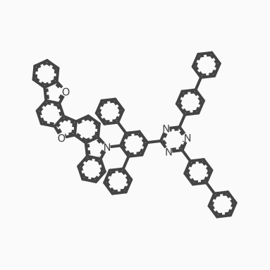 c1ccc(-c2ccc(-c3nc(-c4ccc(-c5ccccc5)cc4)nc(-c4cc(-c5ccccc5)c(-n5c6ccccc6c6c7oc8ccc9c%10ccccc%10oc9c8c7ccc65)c(-c5ccccc5)c4)n3)cc2)cc1